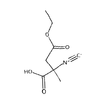 [C-]#[N+]C(C)(CC(=O)OCC)C(=O)O